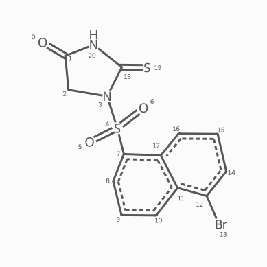 O=C1CN(S(=O)(=O)c2cccc3c(Br)cccc23)C(=S)N1